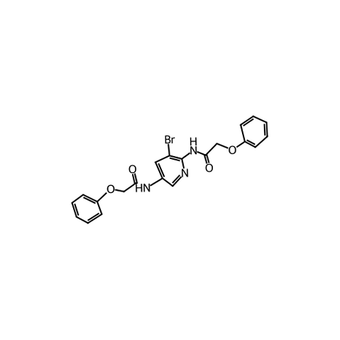 O=C(COc1ccccc1)Nc1cnc(NC(=O)COc2ccccc2)c(Br)c1